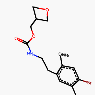 COc1cc(CCNC(=O)OCC2COC2)c(OC)cc1Br